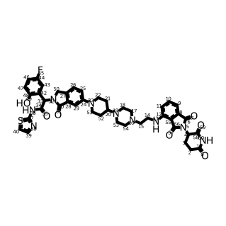 O=C1CCC(N2C(=O)c3cccc(NCCN4CCN(C5CCN(c6ccc7c(c6)C(=O)N(C(C(=O)Nc6nccs6)c6cc(F)ccc6O)C7)CC5)CC4)c3C2=O)C(=O)N1